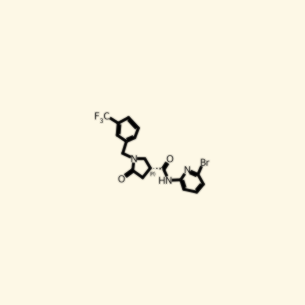 O=C(Nc1cccc(Br)n1)[C@@H]1CC(=O)N(Cc2cccc(C(F)(F)F)c2)C1